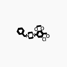 O=Cc1c(Cl)cc(N2CCN(Cc3ccccc3)CC2)c2c1OCCO2